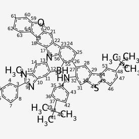 Cn1c(-c2ccccc2)nc2cc3c(cc21)-n1c2cc4c(cc2c2ccc(-c5cc6c(cc5Nc5ccc(C(C)(C)C)cc5)sc5ccc(C(C)(C)C)cc56)c(c21)B3)oc1ccccc14